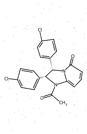 CC(=O)N1c2cccc(=O)n2[C@@H](c2ccc(Cl)cc2)[C@H]1c1ccc(Cl)cc1